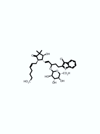 CC1(C)C(=O)[C@H](C/C=C\CCCC(=O)O)[C@@H](/C=C/C(CCc2sc3ccccc3c2Cl)OC2O[C@H](C(=O)O)[C@@H](O)[C@H](O)[C@H]2O)[C@@H]1O